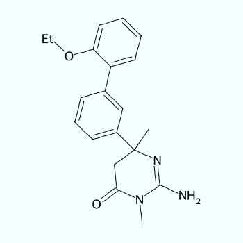 CCOc1ccccc1-c1cccc(C2(C)CC(=O)N(C)C(N)=N2)c1